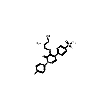 C[C@H](CO)COc1c(-c2ccc(S(N)(=O)=O)cc2)cnn(-c2ccc(F)cc2)c1=O